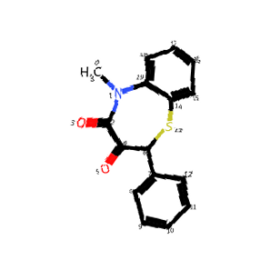 CN1C(=O)C(=O)C(c2ccccc2)Sc2ccccc21